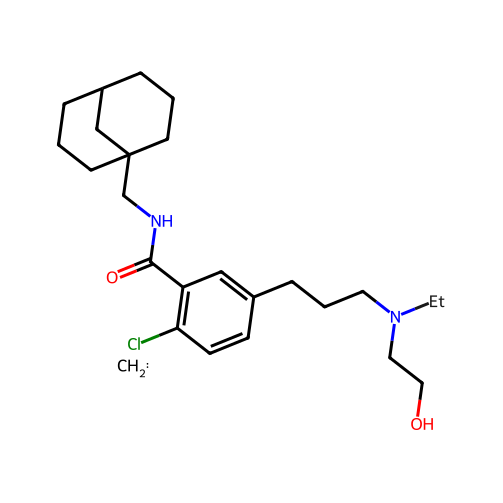 CCN(CCO)CCCc1ccc(Cl)c(C(=O)NCC23CCCC(CCC2)C3)c1.[CH2]